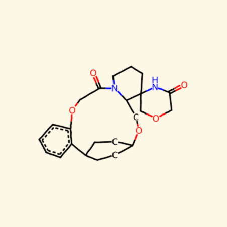 O=C1COCC2(CCCN3C(=O)COc4ccccc4C4CCC(CC4)OCC32)N1